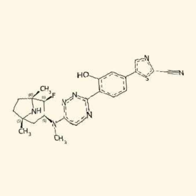 CN(c1cnc(-c2ccc(-c3cnc(C#N)s3)cc2O)nn1)[C@H]1C[C@]2(C)CC[C@@](C)(N2)[C@H]1F